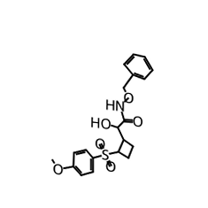 COc1ccc(S(=O)(=O)C2CCC2C(O)C(=O)NOCc2ccccc2)cc1